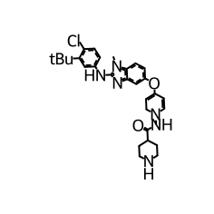 Cn1c(Nc2ccc(Cl)c(C(C)(C)C)c2)nc2cc(OC3=CCN(NC(=O)C4CCNCC4)C=C3)ccc21